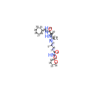 CC\C(=N/C=C(C)/C=C/C(=O)NOC1CCCCO1)N[C@H](C)C(=O)NCC1CCCCCC1